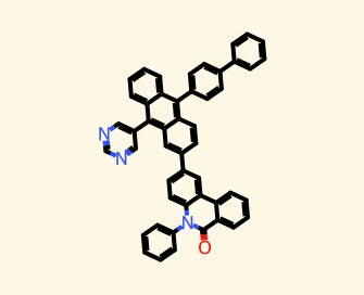 O=c1c2ccccc2c2cc(-c3ccc4c(-c5ccc(-c6ccccc6)cc5)c5ccccc5c(-c5cncnc5)c4c3)ccc2n1-c1ccccc1